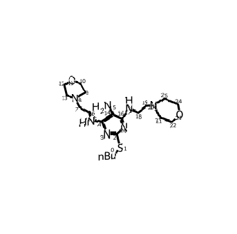 CCCCSc1nc(NCCN2CCOCC2)c(N)c(NCCN2CCOCC2)n1